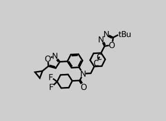 CC(C)(C)c1nnc(C23CCC(CN(C(=O)C4CCC(F)(F)CC4)c4cccc(-c5cc(C6CC6)on5)c4)(CC2)CC3)o1